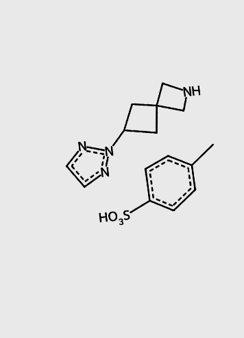 Cc1ccc(S(=O)(=O)O)cc1.c1cnn(C2CC3(CNC3)C2)n1